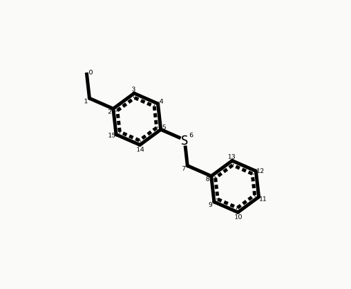 CCc1ccc(SCc2ccccc2)cc1